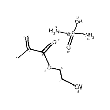 C=C(C)C(=O)OCCC#N.NP(N)(=O)O